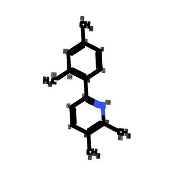 Cc1ccc(-c2ccc(C)c(C)n2)c(C)c1